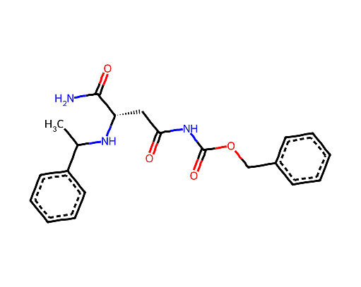 CC(N[C@@H](CC(=O)NC(=O)OCc1ccccc1)C(N)=O)c1ccccc1